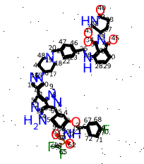 C[C@H](Oc1cc(-c2nn(C)c3c(-c4cnn(C5CCN(Cc6ccc(CNc7cccc8c7C(=O)N(C7CCC(=O)NC7=O)C8=O)cc6)CC5)c4)cnc(N)c23)ccc1NS(=O)(=O)C(F)F)c1ccc(F)cc1